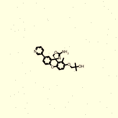 Cc1c(OCC(C)(C)O)ccc2c1[C@]1(COC(N)=N1)c1cc(-c3cccnc3)ccc1O2